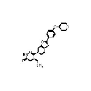 CCC1CC(=O)NN=C1c1ccc2nc(-c3ccc(OC4CCOCC4)cc3)oc2c1